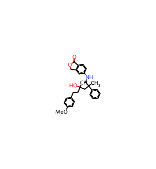 COc1ccc(CCC(C)(O)CC(C)(CNc2ccc3c(c2)COC3=O)c2ccccc2)cc1